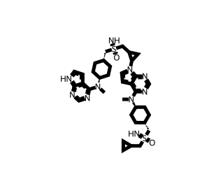 CN(c1ncnc2[nH]ccc12)[C@H]1CC[C@@H](CS(=N)(=O)CC2CC2n2ccc3c(N(C)[C@H]4CC[C@H](CS(=N)(=O)CC5CC5)CC4)ncnc32)CC1